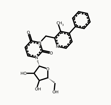 Cc1c(-c2ccccc2)ccnc1Cn1c(=O)ccn([C@@H]2O[C@H](CO)C(O)C2O)c1=O